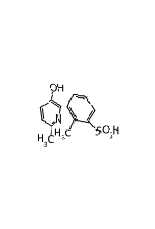 Cc1ccc(O)cn1.Cc1ccccc1S(=O)(=O)O